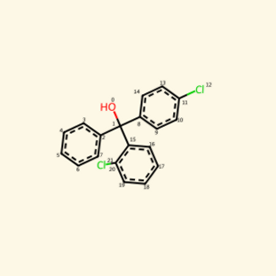 OC(c1ccccc1)(c1ccc(Cl)cc1)c1ccccc1Cl